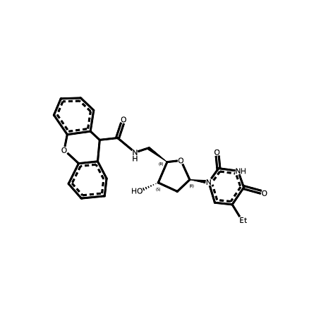 CCc1cn([C@H]2C[C@H](O)[C@@H](CNC(=O)C3c4ccccc4Oc4ccccc43)O2)c(=O)[nH]c1=O